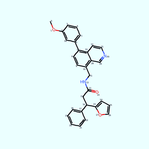 COc1cccc(-c2ccc(CNC(=O)CC(c3ccccc3)c3ccco3)c3cnccc23)c1